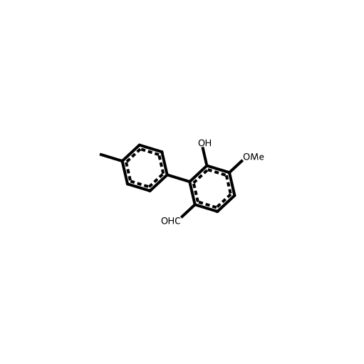 COc1ccc(C=O)c(-c2ccc(C)cc2)c1O